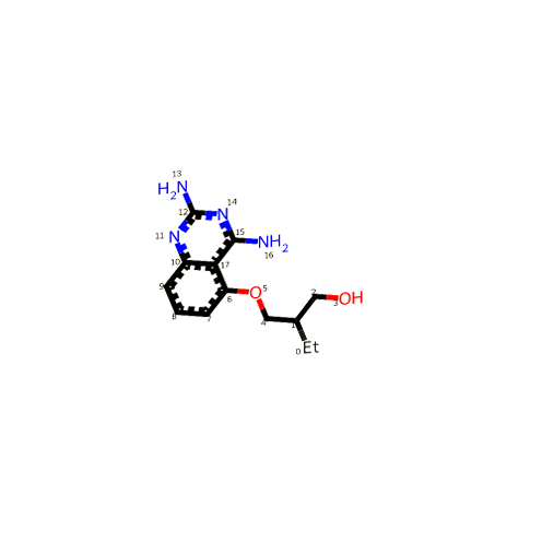 CCC(CO)COc1cccc2nc(N)nc(N)c12